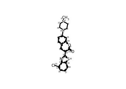 CN1CCN(c2ccc3cc(-c4nc5c(Cl)cccc5s4)c(=O)oc3c2)CC1